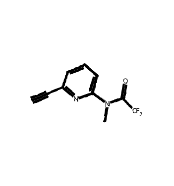 C#Cc1cccc(N(C)C(=O)C(F)(F)F)n1